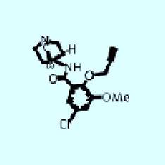 C#CCOc1c(OC)cc(Cl)cc1C(=O)N[C@@H]1CN2CCC1CC2